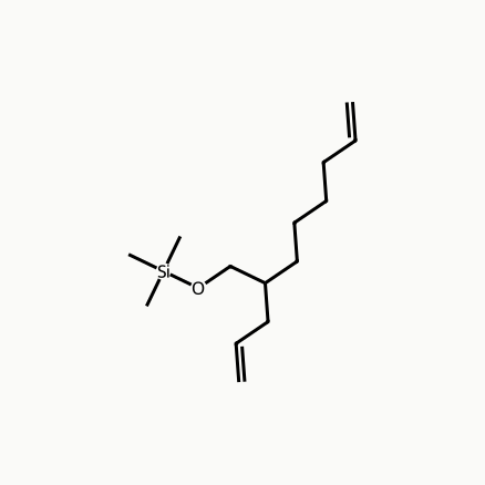 C=CCCCCC(CC=C)CO[Si](C)(C)C